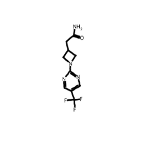 NC(=O)CC1CN(c2ncc(C(F)(F)F)cn2)C1